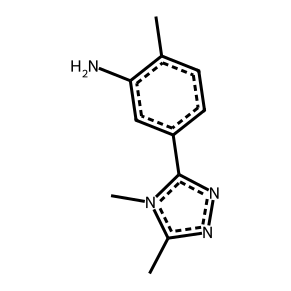 Cc1ccc(-c2nnc(C)n2C)cc1N